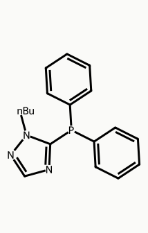 CCCCn1ncnc1P(c1ccccc1)c1ccccc1